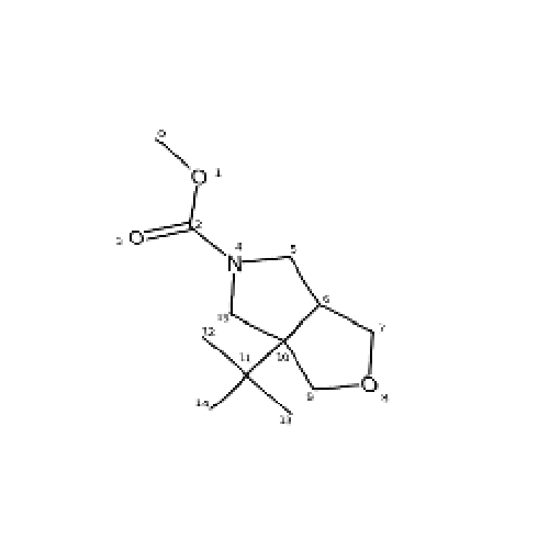 COC(=O)N1CC2COCC2(C(C)(C)C)C1